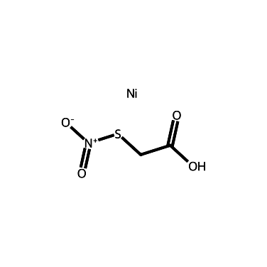 O=C(O)CS[N+](=O)[O-].[Ni]